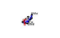 COc1cc(C(=O)N2CC3CCC2[C@@H]3NC(=O)OC(C)(C)C)cn2nc(-c3cc4ccc(N5CC(OC)C5)nc4n3CC3CC3)c(C)c12